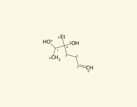 [CH]=CCCC(O)(CC)C(C)O